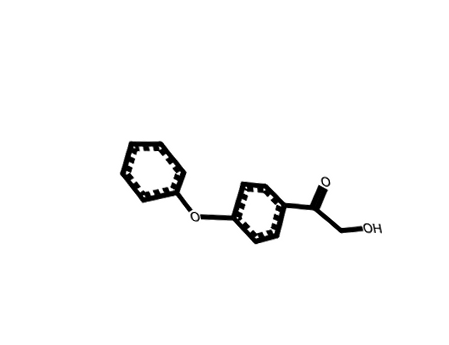 O=C(CO)c1ccc(Oc2ccccc2)cc1